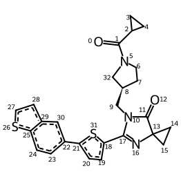 O=C(C1CC1)N1CC[C@@H](CN2C(=O)C3(CC3)N=C2c2ccc(-c3ccc4sccc4c3)s2)C1